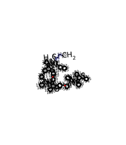 C=C/C=C\C=C(/C)c1cc(C2C=Cc3ccccc3C2)nc(-n2c3ccccc3c3c4ccc(-c5cccc(-c6nc(-n7c8ccccc8c8c9c%10ccc(-c%11cccc(-c%12nc(-n%13c%14ccccc%14c%14c%15c%16ccccc%16sc%15c%15ccccc%15c%14%13)nc%13ccccc%12%13)c%11)cc%10oc9c9ccccc9c87)nc7ccccc67)c5)cc4c4c5ccccc5sc4c32)n1